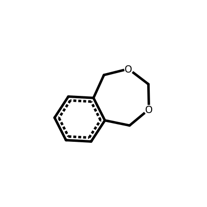 c1ccc2c(c1)COCOC2